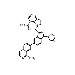 Nc1nccc2ccc(-c3ccc4c(c3)c(Cn3ccc5cccc(C(=O)O)c53)nn4C3CCOC3)cc12